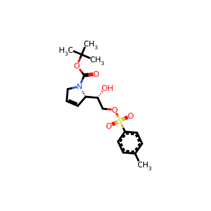 Cc1ccc(S(=O)(=O)OC[C@@H](O)[C@@H]2C=CCN2C(=O)OC(C)(C)C)cc1